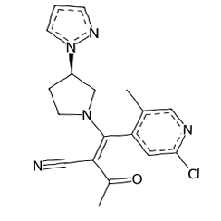 CC(=O)/C(C#N)=C(\c1cc(Cl)ncc1C)N1CC[C@@H](n2cccn2)C1